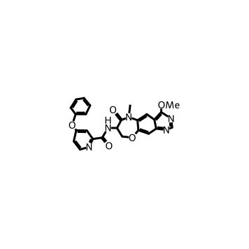 COc1ncnc2cc3c(cc12)N(C)C(=O)C(NC(=O)c1cc(Oc2ccccc2)ccn1)CO3